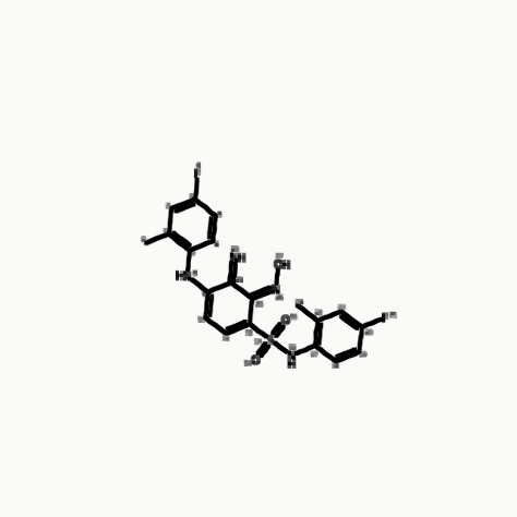 Cc1cc(F)ccc1NC1=CC=C(S(=O)(=O)Nc2ccc(F)cc2C)/C(=N/O)C1=N